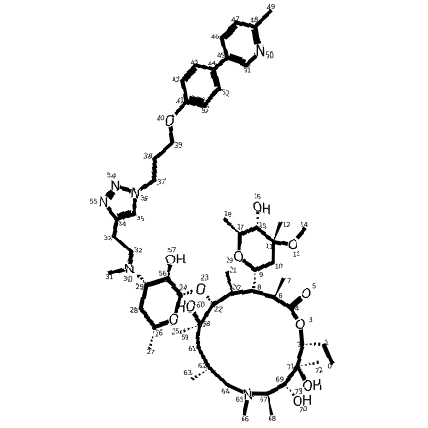 CC[C@H]1OC(=O)[C@H](C)C([C@H]2C[C@@](C)(OC)[C@@H](O)[C@H](C)O2)[C@H](C)[C@@H](O[C@@H]2O[C@H](C)C[C@H](N(C)CCc3cn(CCCOc4ccc(-c5ccc(C)nc5)cc4)nn3)[C@H]2O)[C@](C)(O)C[C@@H](C)CN(C)[C@H](C)[C@@H](O)[C@]1(C)O